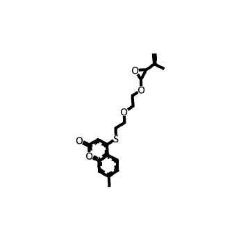 C=C(C)C1OC1OCCOCCSc1cc(=O)oc2cc(C)ccc12